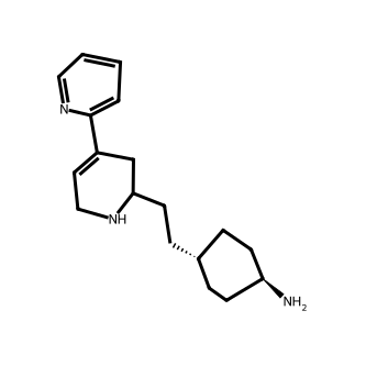 N[C@H]1CC[C@H](CCC2CC(c3ccccn3)=CCN2)CC1